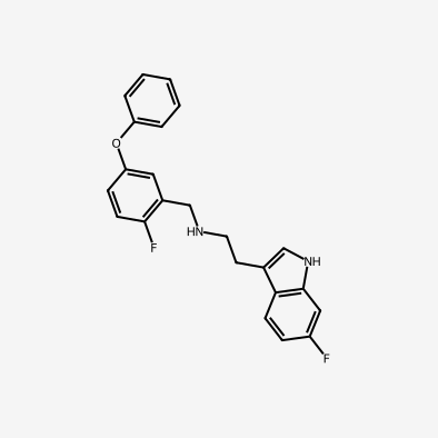 Fc1ccc2c(CCNCc3cc(Oc4ccccc4)ccc3F)c[nH]c2c1